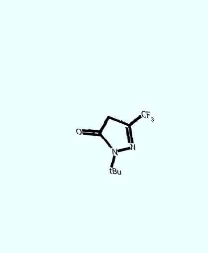 CC(C)(C)N1N=C(C(F)(F)F)CC1=O